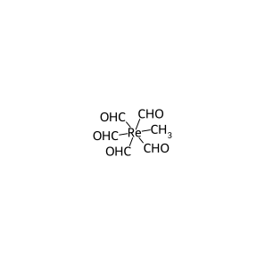 [CH3][Re]([CH]=O)([CH]=O)([CH]=O)([CH]=O)[CH]=O